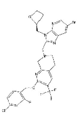 Fc1cc(Cl)ccc1COc1nc2c(cc1C(F)(F)F)CCN(Cc1nc3cc(Br)cnc3n1C[C@@H]1CCO1)C2